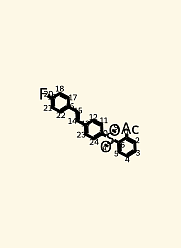 CC(=O)c1ccccc1S(=O)(=O)c1ccc(C=Cc2ccc(F)cc2)cc1